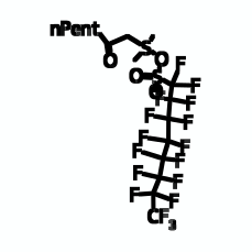 CCCCCC(=O)CS(C)(C)OS(=O)(=O)C(F)(F)C(F)(F)C(F)(F)C(F)(F)C(F)(F)C(F)(F)C(F)(F)C(F)(F)F